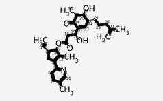 C=C[C@@H]1CC(c2ccc(C)cn2)=C(C)[C@H]1OC(=O)C[C@H](O)C1=C[C@@H](CCCC(=C)C)[C@H](O)[C@@H](C)C1=O